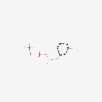 CN(CC(=O)OC(C)(C)C)Cc1cccc(Cl)c1